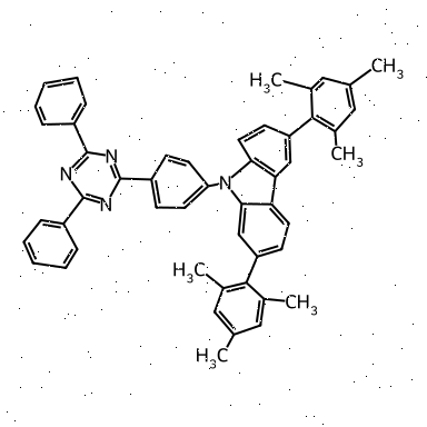 Cc1cc(C)c(-c2ccc3c(c2)c2ccc(-c4c(C)cc(C)cc4C)cc2n3-c2ccc(-c3nc(-c4ccccc4)nc(-c4ccccc4)n3)cc2)c(C)c1